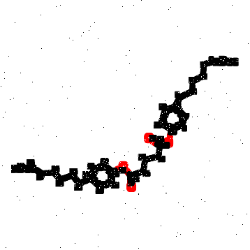 CCCCCCCCCCCCCCCc1ccc(OC(=O)CCCC(=O)Oc2ccc(CCCCCCCCCCCCCCC)cc2)cc1